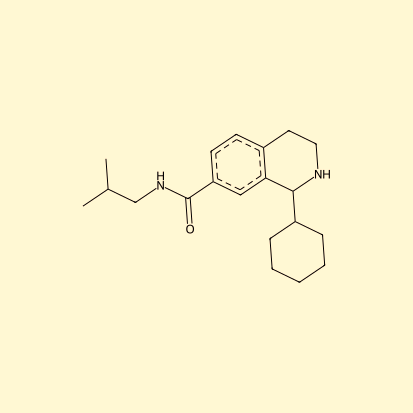 CC(C)CNC(=O)c1ccc2c(c1)C(C1CCCCC1)NCC2